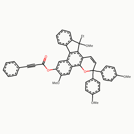 CCC1(OC)c2ccccc2-c2c1c1c(c3cc(OC)c(OC(=O)C#Cc4ccccc4)cc23)OC(c2ccc(OC)cc2)(c2ccc(OC)cc2)C=C1